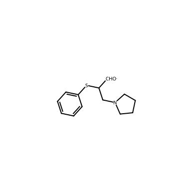 O=[C]C(CN1CCCC1)Sc1ccccc1